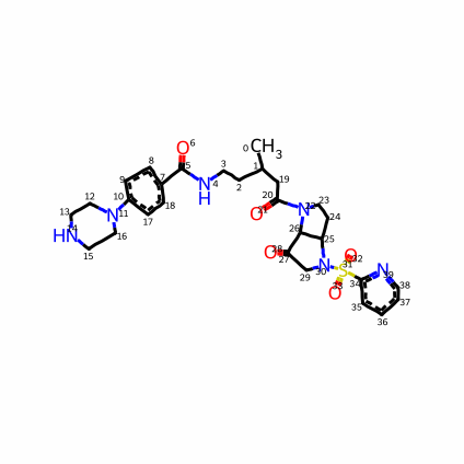 CC(CCNC(=O)c1ccc(N2CCNCC2)cc1)CC(=O)N1CCC2C1C(=O)CN2S(=O)(=O)c1ccccn1